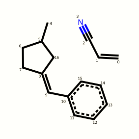 C=CC#N.CC1CCC(=Cc2ccccc2)C1